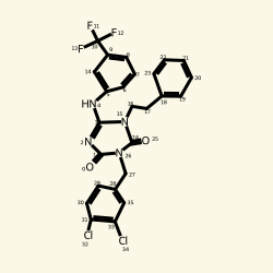 O=c1nc(Nc2cccc(C(F)(F)F)c2)n(CCc2ccccc2)c(=O)n1Cc1ccc(Cl)c(Cl)c1